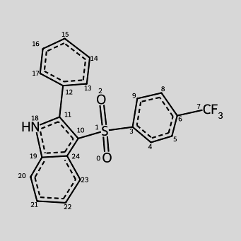 O=S(=O)(c1ccc(C(F)(F)F)cc1)c1c(-c2ccccc2)[nH]c2ccccc12